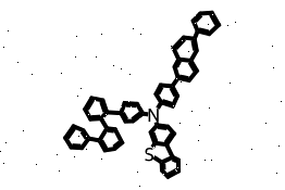 c1ccc(-c2ccc3cc(-c4ccc(N(c5ccc(-c6ccccc6-c6ccccc6-c6ccccc6)cc5)c5ccc6c(c5)sc5ccccc56)cc4)ccc3c2)cc1